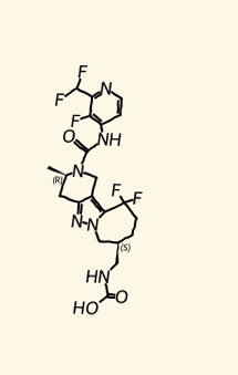 C[C@@H]1Cc2nn3c(c2CN1C(=O)Nc1ccnc(C(F)F)c1F)C(F)(F)CC[C@@H](CNC(=O)O)C3